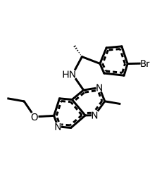 CCOc1cc2c(N[C@H](C)c3ccc(Br)cc3)nc(C)nc2cn1